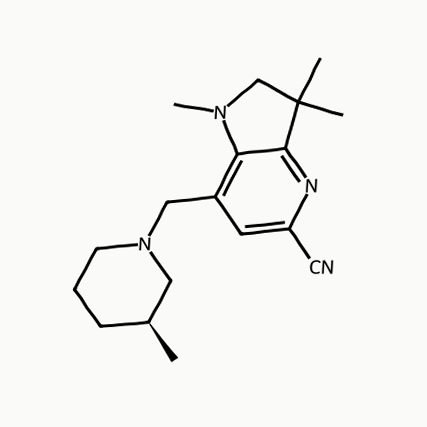 C[C@H]1CCCN(Cc2cc(C#N)nc3c2N(C)CC3(C)C)C1